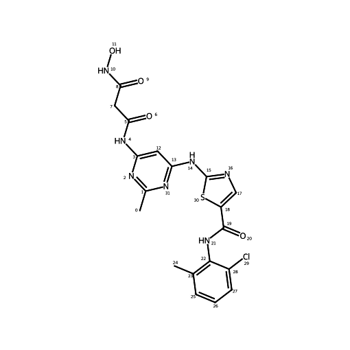 Cc1nc(NC(=O)CC(=O)NO)cc(Nc2ncc(C(=O)Nc3c(C)cccc3Cl)s2)n1